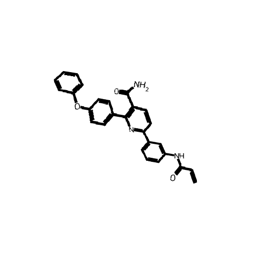 C=CC(=O)Nc1cccc(-c2ccc(C(N)=O)c(-c3ccc(Oc4ccccc4)cc3)n2)c1